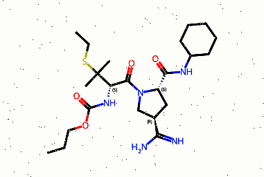 CCCOC(=O)N[C@@H](C(=O)N1C[C@H](C(=N)N)C[C@H]1C(=O)NC1CCCCC1)C(C)(C)SCC